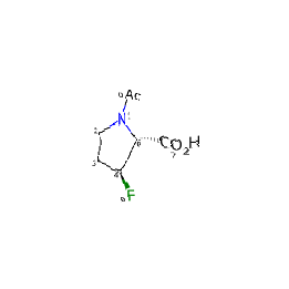 CC(=O)N1CC[C@H](F)[C@H]1C(=O)O